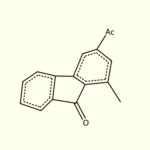 CC(=O)c1cc(C)c2c(c1)-c1ccccc1C2=O